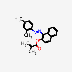 C=C(C)C(=O)Oc1ccc2ccccc2c1N=Nc1ccc(C)cc1C